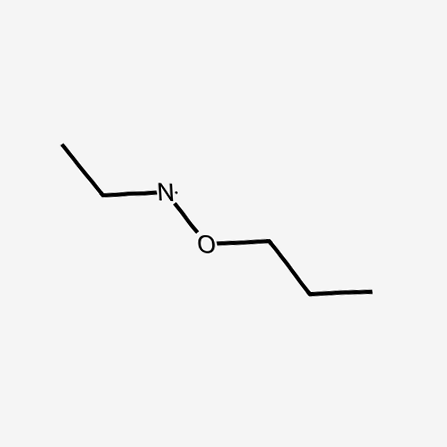 CCCO[N]CC